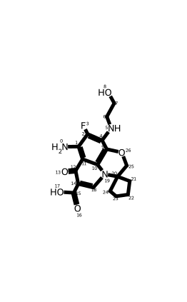 Nc1c(F)c(NCCO)c2c3c1c(=O)c(C(=O)O)cn3C1(CCCC1)CO2